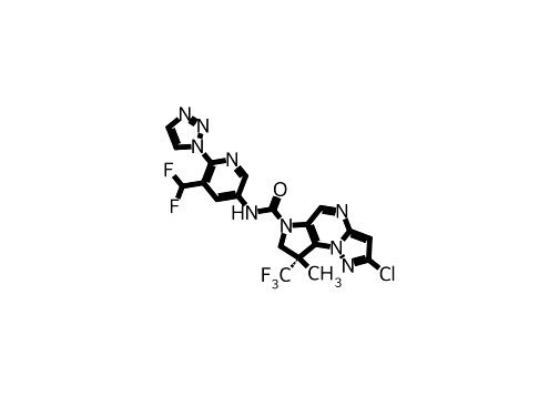 C[C@@]1(C(F)(F)F)CN(C(=O)Nc2cnc(-n3ccnn3)c(C(F)F)c2)c2cnc3cc(Cl)nn3c21